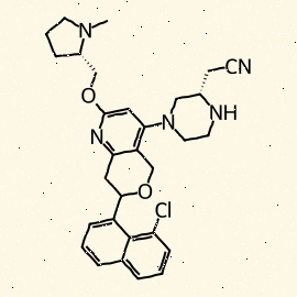 CN1CCC[C@H]1COc1cc(N2CCN[C@@H](CC#N)C2)c2c(n1)CC(c1cccc3cccc(Cl)c13)OC2